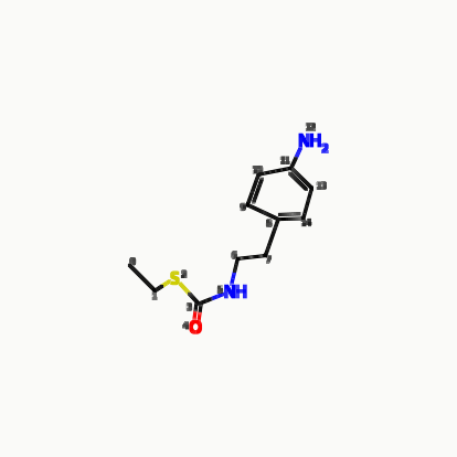 CCSC(=O)NCCc1ccc(N)cc1